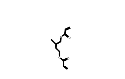 C=CC(=O)OCCC(C)COC(=O)C=C